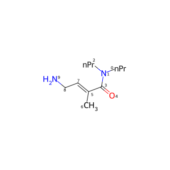 CCCN(CCC)C(=O)C(C)=CCN